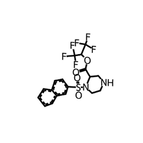 O=C(OC(C(F)(F)F)C(F)(F)F)C1CNCCN1S(=O)(=O)c1ccc2ccccc2c1